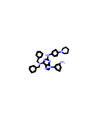 Nc1cccc(-n2cnc3c(N(Cc4ccccc4)Cc4ccccc4)nc(Nc4ccc(N5CCCCC5)cc4)nc32)c1